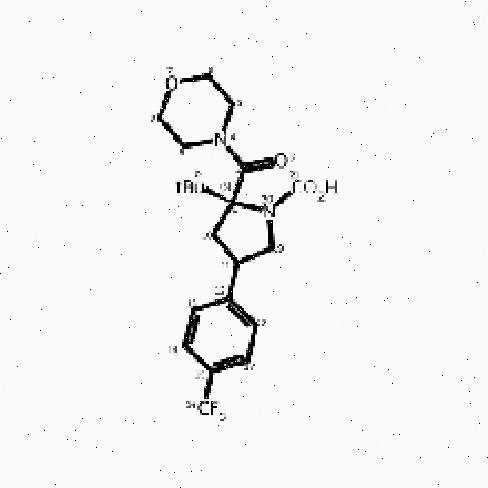 CC(C)(C)[C@]1(C(=O)N2CCOCC2)CC(c2ccc(C(F)(F)F)cc2)CN1C(=O)O